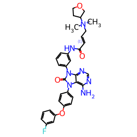 C[N+](C)(C/C=C/C(=O)Nc1cccc(-n2c(=O)n(-c3ccc(Oc4cccc(F)c4)cc3)c3c(N)ncnc32)c1)C1CCOC1